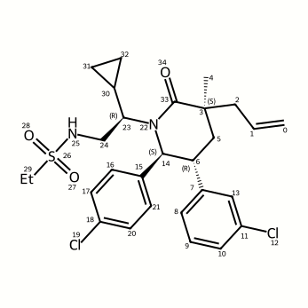 C=CC[C@@]1(C)C[C@H](c2cccc(Cl)c2)[C@@H](c2ccc(Cl)cc2)N([C@@H](CNS(=O)(=O)CC)C2CC2)C1=O